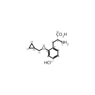 Cl.N[C@H](Cc1ccccc1OCC1CC1)C(=O)O